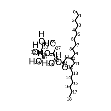 CCCCCCCCCCC(CCCCCCCC)CC(=O)O.OCC(O)CO.OCC(O)CO